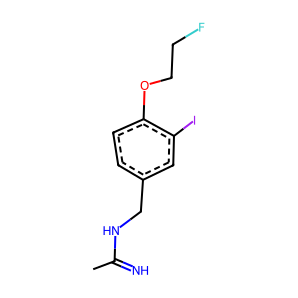 CC(=N)NCc1ccc(OCCF)c(I)c1